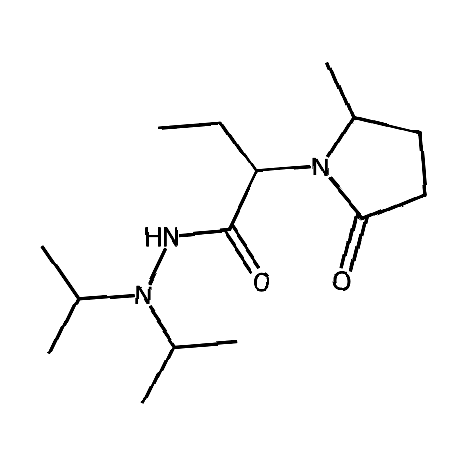 CCC(C(=O)NN(C(C)C)C(C)C)N1C(=O)CCC1C